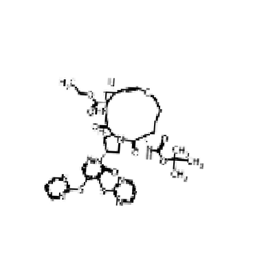 CCOC(=O)[C@@]12C[C@H]1/C=C\CCCCC[C@H](NC(=O)OC(C)(C)C)C(=O)N1C[C@H](n3ncc(Sc4ncccn4)c(Sc4ncccn4)c3=O)C[C@H]1C(=O)N2